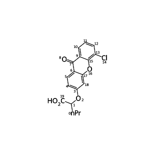 CCCC(Oc1ccc2c(=O)c3cccc(Cl)c3oc2c1)C(=O)O